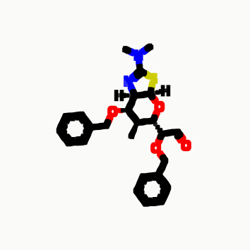 C[C@H]1[C@H](OCc2ccccc2)[C@H]2N=C(N(C)C)S[C@H]2O[C@@H]1C(C=O)OCc1ccccc1